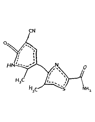 Cc1[nH]c(=O)c(C#N)cc1-c1nc(C(N)=O)sc1C